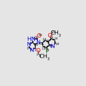 CCOc1ncnc2[nH]c(=O)n(-c3cc(F)c4nccc(OC)c4c3)c12